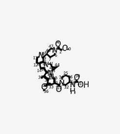 COCC(=O)N1CCC(c2nccc3cc(-c4nn5cc(C(=O)N6CCC[C@@H](NC(=O)O)C6)cc(OC)c5c4C)n(CC4CC4)c23)CC1